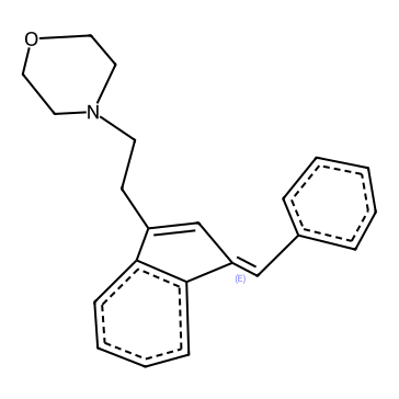 C1=C(CCN2CCOCC2)c2ccccc2/C1=C/c1ccccc1